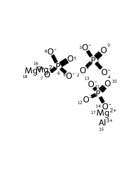 O=P([O-])([O-])[O-].O=P([O-])([O-])[O-].O=P([O-])([O-])[O-].[Al+3].[Mg+2].[Mg+2].[Mg+2]